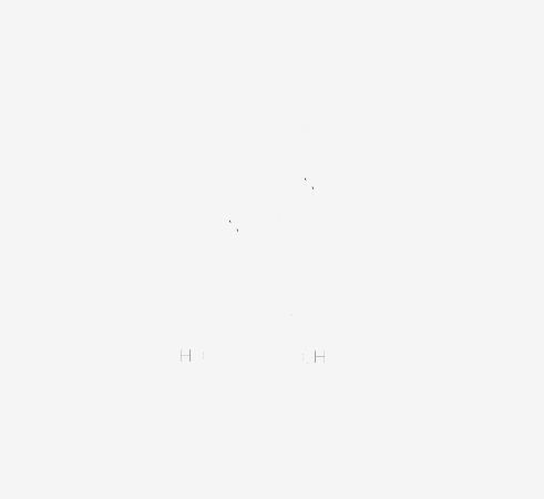 Cc1cnc(N2CC2)cc1C